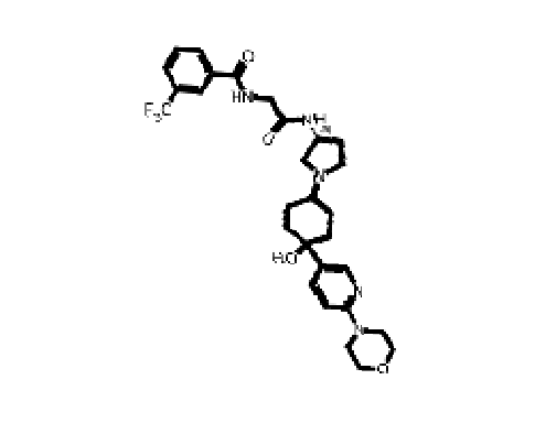 O=C(CNC(=O)c1cccc(C(F)(F)F)c1)N[C@@H]1CCN(C2CCC(O)(c3ccc(N4CCOCC4)nc3)CC2)C1